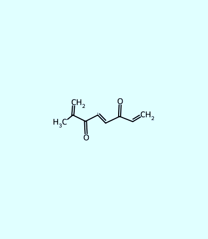 C=CC(=O)/C=[C]/C(=O)C(=C)C